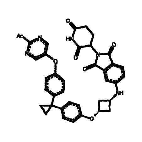 CC(=O)c1ncc(Oc2ccc(C3(c4ccc(O[C@H]5C[C@H](Nc6ccc7c(c6)C(=O)N(C6CCC(=O)NC6=O)C7=O)C5)cc4)CC3)cc2)cn1